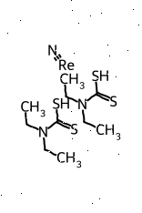 CCN(CC)C(=S)S.CCN(CC)C(=S)S.[N]#[Re]